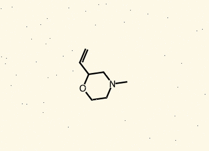 C=CC1CN(C)CCO1